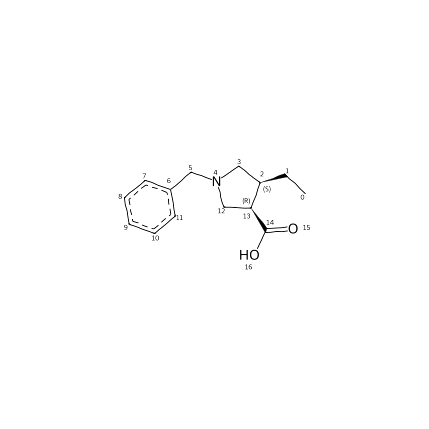 CC[C@@H]1CN(Cc2ccccc2)C[C@@H]1C(=O)O